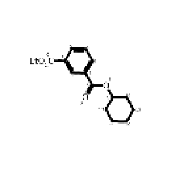 CCOC(=O)c1cccc(C(=O)OC2CCCCC2)c1